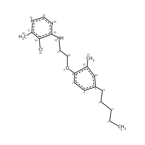 CCCCCc1ccc(OCCNc2ncnc(C)c2Cl)c(C)c1